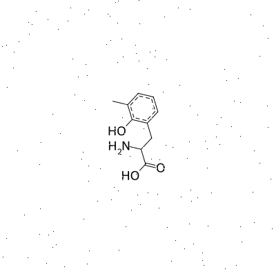 Cc1cccc(CC(N)C(=O)O)c1O